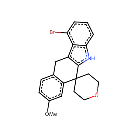 COc1ccc2c(c1)C1(CCOCC1)c1[nH]c3cccc(Br)c3c1C2